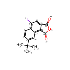 CC(C)(C)c1ccc2c(I)cc3c(c2c1)C(=O)OC3=O